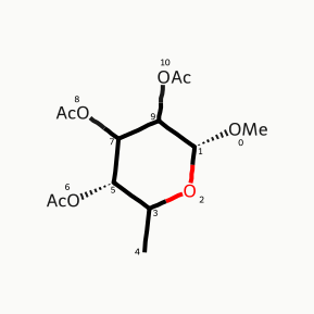 CO[C@@H]1OC(C)[C@H](OC(C)=O)C(OC(C)=O)C1OC(C)=O